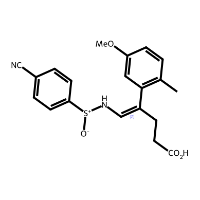 COc1ccc(C)c(/C(=C\N[S+]([O-])c2ccc(C#N)cc2)CCC(=O)O)c1